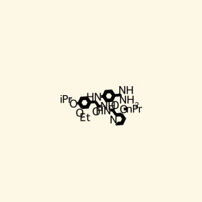 CCCOc1cccnc1C(=O)NNC(=O)C(Nc1ccc(C(=N)N)cc1)c1ccc(OC(C)C)c(OCC)c1